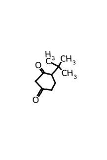 CC(C)(C)C1CCC(=O)CC1=O